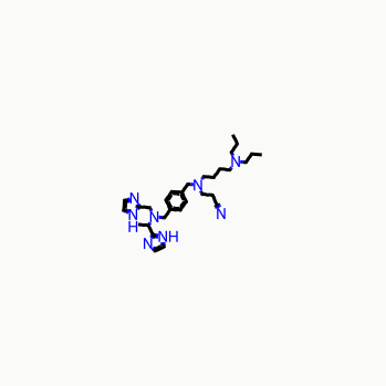 CCCN(CCC)CCCCN(CCC#N)Cc1ccc(CN(Cc2ncc[nH]2)C(C)c2ncc[nH]2)cc1